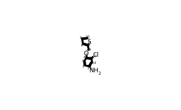 Nc1ccc(OCc2cccs2)c(Cl)c1